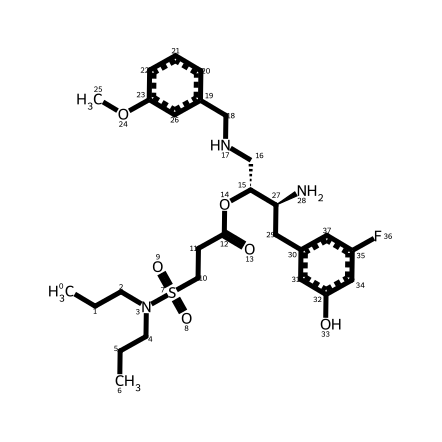 CCCN(CCC)S(=O)(=O)CCC(=O)O[C@H](CNCc1cccc(OC)c1)[C@@H](N)Cc1cc(O)cc(F)c1